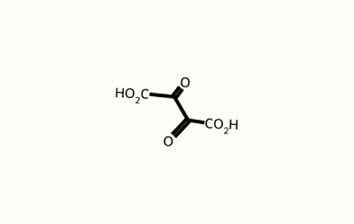 O=C(O)C(=O)C(=O)C(=O)O